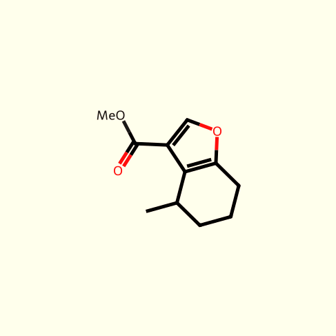 COC(=O)c1coc2c1C(C)CCC2